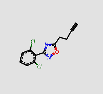 C#CCCc1nc(-c2c(Cl)cccc2Cl)no1